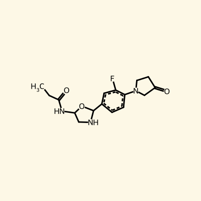 CCC(=O)NC1CNC(c2ccc(N3CCC(=O)C3)c(F)c2)O1